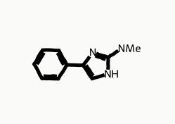 CNc1nc(-c2ccccc2)c[nH]1